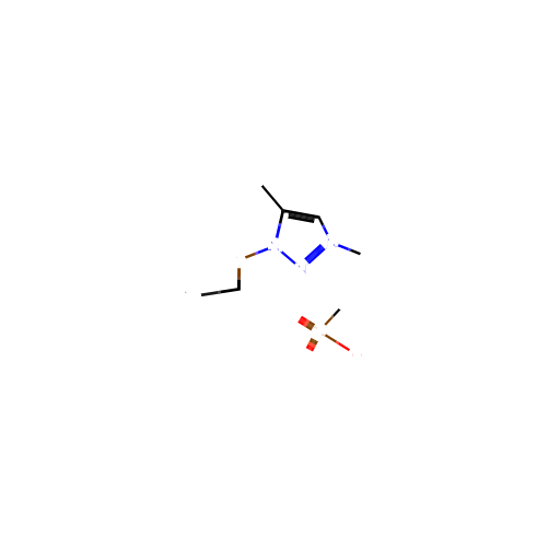 CC(=O)CSn1n[n+](C)cc1C.CS(=O)(=O)[O-]